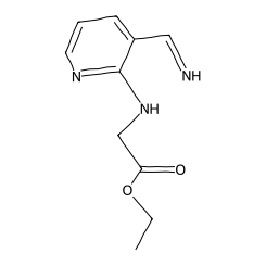 CCOC(=O)CNc1ncccc1C=N